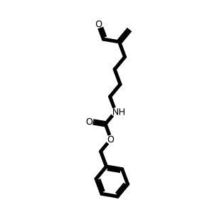 C=C(C=O)CCCCNC(=O)OCc1ccccc1